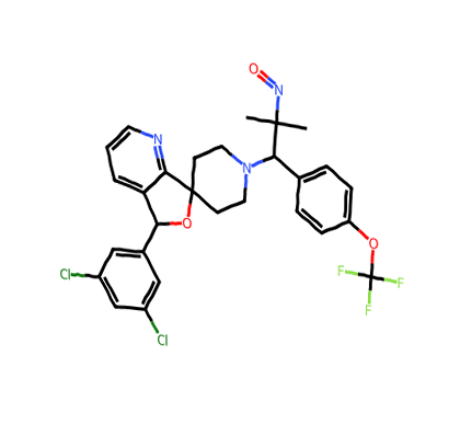 CC(C)(N=O)C(c1ccc(OC(F)(F)F)cc1)N1CCC2(CC1)OC(c1cc(Cl)cc(Cl)c1)c1cccnc12